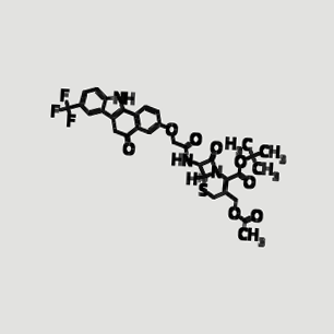 CC(=O)OCC1=C(C(=O)OC(C)(C)C)N2C(=O)C(NC(=O)COc3ccc4c(c3)C(=O)Cc3c-4[nH]c4ccc(C(F)(F)F)cc34)[C@H]2SC1